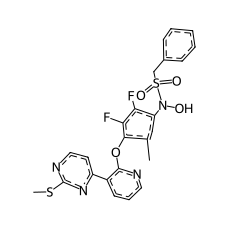 CSc1nccc(-c2cccnc2Oc2c(C)cc(N(O)S(=O)(=O)Cc3ccccc3)c(F)c2F)n1